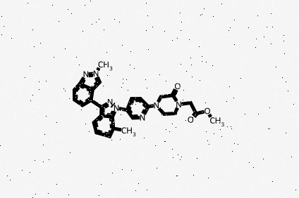 COC(=O)CN1CCN(c2ccc(-n3nc(-c4cccc5nn(C)cc45)c4cccc(C)c43)cn2)CC1=O